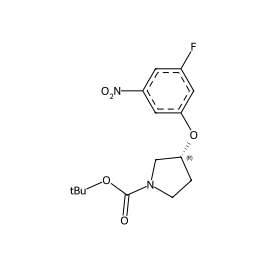 CC(C)(C)OC(=O)N1CC[C@@H](Oc2cc(F)cc([N+](=O)[O-])c2)C1